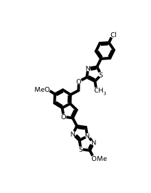 COc1cc(COc2nc(-c3ccc(Cl)cc3)sc2C)c2cc(-c3cn4nc(OC)sc4n3)oc2c1